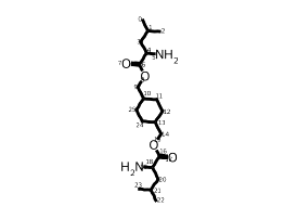 CC(C)CC(N)C(=O)OCC1CCC(COC(=O)C(N)CC(C)C)CC1